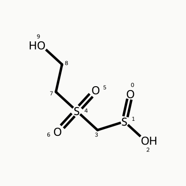 O=S(O)CS(=O)(=O)CCO